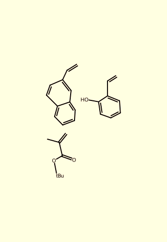 C=C(C)C(=O)OC(C)(C)C.C=Cc1ccc2ccccc2c1.C=Cc1ccccc1O